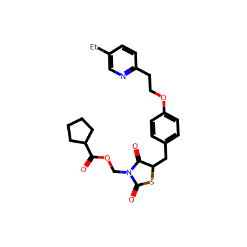 CCc1ccc(CCOc2ccc(CC3SC(=O)N(COC(=O)C4CCCC4)C3=O)cc2)nc1